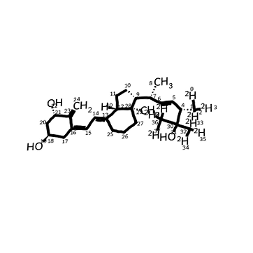 [2H]C([2H])([2H])[C@@H](/C=C/[C@@H](C)[C@H]1CC[C@H]2/C(=C/C=C3/C[C@@H](O)C[C@H](O)C3=C)CCC[C@]12C)C(O)(C([2H])([2H])[2H])C([2H])([2H])[2H]